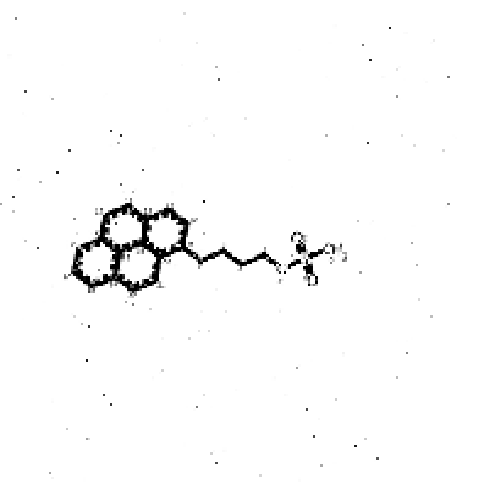 CS(=O)(=O)OCCCCc1ccc2ccc3cccc4ccc1c2c34